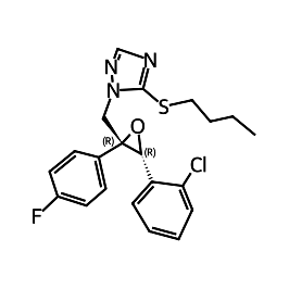 CCCCSc1ncnn1C[C@@]1(c2ccc(F)cc2)O[C@@H]1c1ccccc1Cl